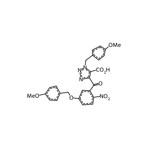 COc1ccc(COc2ccc([N+](=O)[O-])c(C(=O)c3nnn(Cc4ccc(OC)cc4)c3C(=O)O)c2)cc1